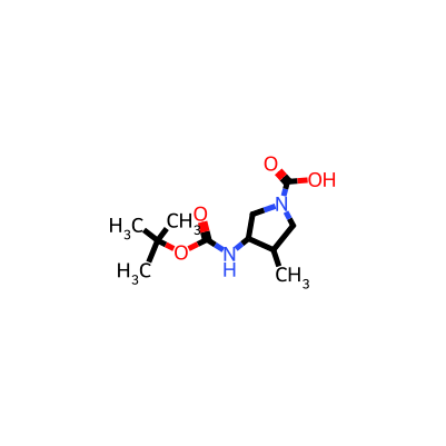 CC1CN(C(=O)O)CC1NC(=O)OC(C)(C)C